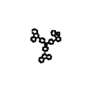 C1=CC(c2cccc3oc4ccccc4c23)CC=C1N(c1ccc(-c2cc3ccccc3c3ccccc23)cc1)c1ccc(-c2cc3ccccc3c3ccccc23)cc1